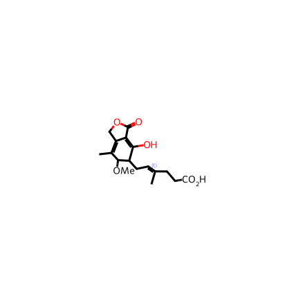 COC1C(C)=C2COC(=O)C2=C(O)C1C/C=C(\C)CCC(=O)O